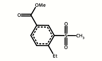 CCc1ccc(C(=O)OC)cc1S(C)(=O)=O